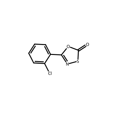 O=c1oc(-c2ccccc2Cl)ns1